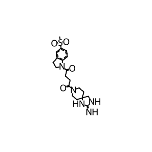 CS(=O)(=O)c1ccc2c(c1)CCN2C(=O)CCC(=O)N1CCC2(CC1)CNC(=N)N2